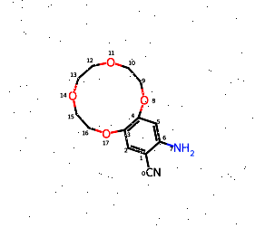 N#Cc1cc2c(cc1N)OCCOCCOCCO2